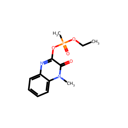 CCOP(C)(=O)Oc1nc2ccccc2n(C)c1=O